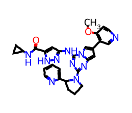 COc1ccncc1-c1cc2nc(N3CCCC3c3ccccn3)nc(Nc3cc(C(=O)NC4CC4)[nH]n3)n2c1